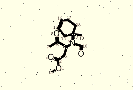 COC(=O)CC(C(C)=O)N(C=O)C1(C)CC=CCC1